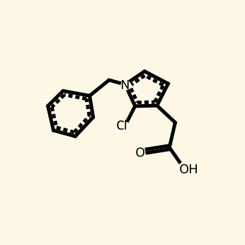 O=C(O)Cc1ccn(Cc2ccccc2)c1Cl